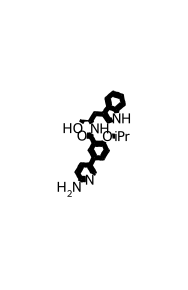 CC(C)Oc1ccc(-c2ccc(N)nc2)cc1C(=O)N[C@@H](CO)Cc1c[nH]c2ccccc12